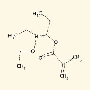 C=C(C)C(=O)OC(CC)N(CC)OCC